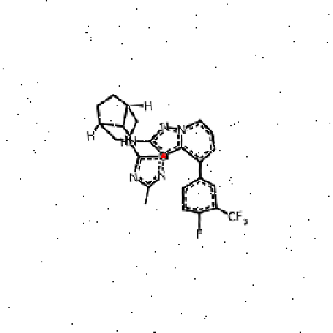 Cc1noc(N2C[C@H]3CC[C@@H](C2)C3Nc2nc3c(-c4ccc(F)c(C(F)(F)F)c4)cccn3n2)n1